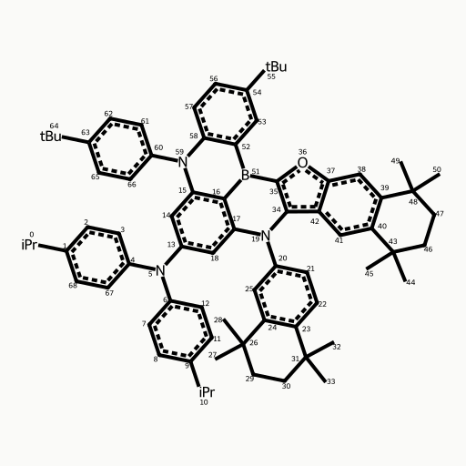 CC(C)c1ccc(N(c2ccc(C(C)C)cc2)c2cc3c4c(c2)N(c2ccc5c(c2)C(C)(C)CCC5(C)C)c2c(oc5cc6c(cc25)C(C)(C)CCC6(C)C)B4c2cc(C(C)(C)C)ccc2N3c2ccc(C(C)(C)C)cc2)cc1